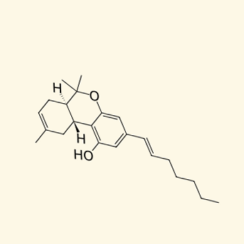 CCCCC/C=C/c1cc(O)c2c(c1)OC(C)(C)[C@@H]1CC=C(C)C[C@@H]21